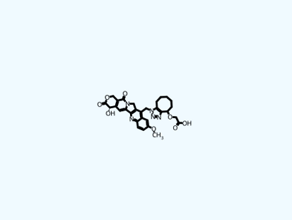 COc1ccc2nc3c(c(Cn4nnc5c4CCCCCC5OCC(=O)O)c2c1)Cn1c-3cc2c(c1=O)COC(=O)[C@H]2O